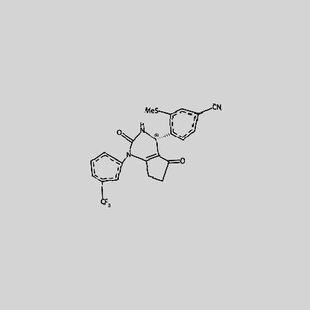 CSc1cc(C#N)ccc1[C@H]1NC(=O)N(c2cccc(C(F)(F)F)c2)C2=C1C(=O)CC2